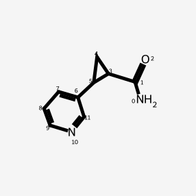 NC(=O)C1CC1c1cccnc1